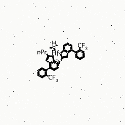 CCCC1=Cc2c(-c3ccccc3C(F)(F)F)cccc2[CH]1[Hf]([CH]1C(CCC)=Cc2c(-c3ccccc3C(F)(F)F)cccc21)[SiH](C)C